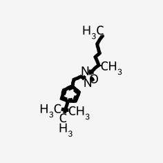 CCCCC[C@H](C)c1nc(Cc2ccc(C(C)(C)C)cc2)no1